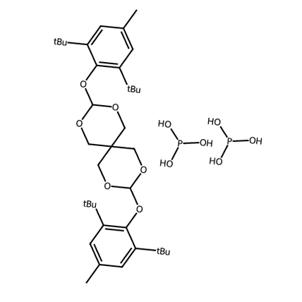 Cc1cc(C(C)(C)C)c(OC2OCC3(CO2)COC(Oc2c(C(C)(C)C)cc(C)cc2C(C)(C)C)OC3)c(C(C)(C)C)c1.OP(O)O.OP(O)O